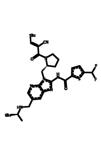 C[C@H](NCc1cnc2c(c1)nc(NC(=O)c1ccc(C(F)F)s1)n2C[C@H]1CCCN1C(=O)/C(C#N)=C/C(C)(C)C)C(C)(C)C